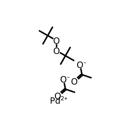 CC(=O)[O-].CC(=O)[O-].CC(C)(C)OOC(C)(C)C.[Pd+2]